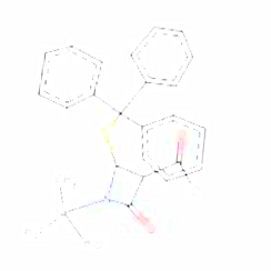 CCC(=O)C1C(=O)N([Si](C)(C)C(C)(C)C)C1SC(c1ccccc1)(c1ccccc1)c1ccccc1